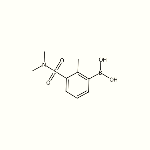 Cc1c(B(O)O)cccc1S(=O)(=O)N(C)C